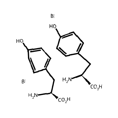 N[C@@H](Cc1ccc(O)cc1)C(=O)O.N[C@@H](Cc1ccc(O)cc1)C(=O)O.[B].[B]